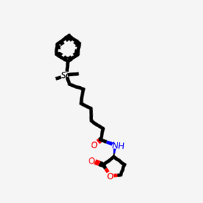 C[Si](C)(CCCCCCC(=O)N[C@H]1CCOC1=O)c1ccccc1